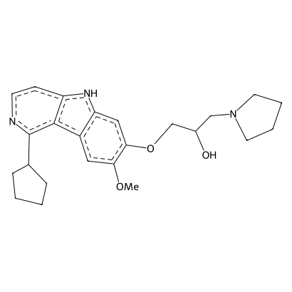 COc1cc2c(cc1OCC(O)CN1CCCC1)[nH]c1ccnc(C3CCCC3)c12